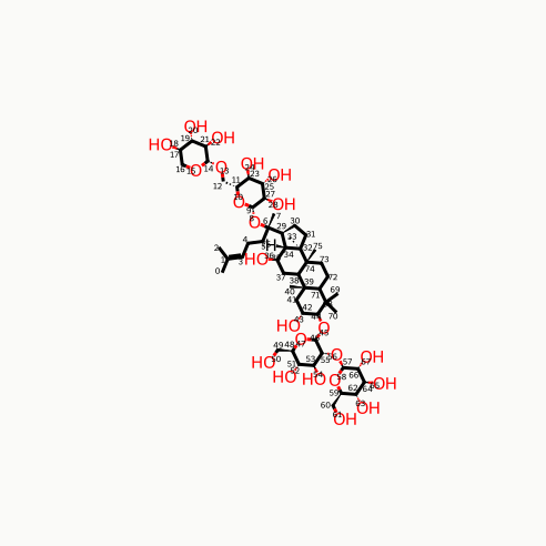 CC(C)=CCC[C@](C)(O[C@@H]1O[C@H](CO[C@@H]2OC[C@@H](O)[C@H](O)[C@H]2O)[C@@H](O)[C@H](O)[C@H]1O)[C@H]1CC[C@]2(C)[C@@H]1[C@H](O)CC1[C@@]3(C)C[C@@H](O)[C@H](O[C@@H]4O[C@H](CO)[C@@H](O)[C@H](O)[C@H]4O[C@@H]4O[C@H](CO)[C@@H](O)[C@H](O)[C@H]4O)C(C)(C)C3CC[C@]12C